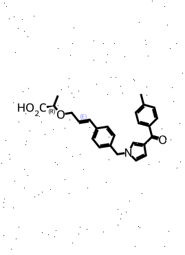 Cc1ccc(C(=O)c2ccn(Cc3ccc(/C=C/CO[C@H](C)C(=O)O)cc3)c2)cc1